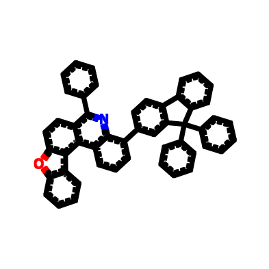 c1ccc(-c2nc3c(-c4ccc5c(c4)C(c4ccccc4)(c4ccccc4)c4ccccc4-5)cccc3c3c2ccc2oc4ccccc4c23)cc1